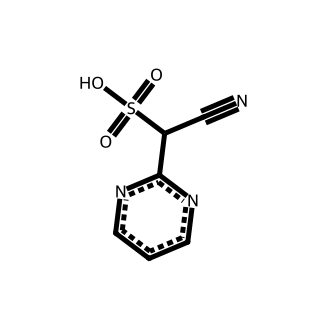 N#CC(c1ncccn1)S(=O)(=O)O